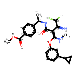 CN/C(Oc1cccc(C2CC2)c1)=C(\C(=N)C(F)F)C(=O)NC(C)c1ccc(C(=O)OC)cc1